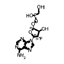 Nc1ncnc2c1ncn2[C@@H]1O[C@H](OOP(O)CO)C(O)[C@@H]1F